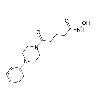 O=C(CCCC(=O)N1CCN(c2ccccc2)CC1)NO